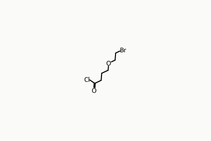 O=C(Cl)CCCOCCBr